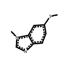 CSc1ccc2ncn(C)c2c1